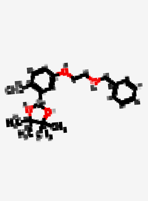 CC1(C)OB(c2cc(OCCOCc3ccccc3)ccc2C=O)OC1(C)C